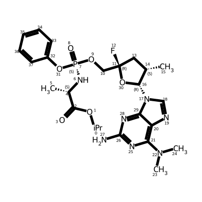 CC(C)OC(=O)[C@H](C)N[P@](=O)(OC[C@]1(F)C[C@H](C)[C@H](n2cnc3c(N(C)C)nc(N)nc32)O1)Oc1ccccc1